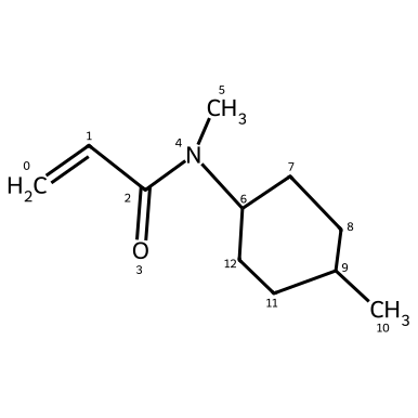 C=CC(=O)N(C)C1CCC(C)CC1